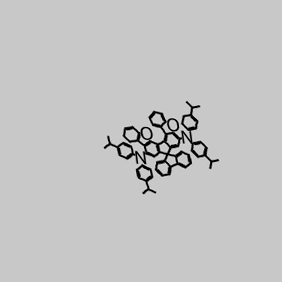 CC(C)C1=CC=C(N(c2ccc(C(C)C)cc2)c2cc3c(c4c2oc2ccccc24)-c2c(cc(N(c4ccc(C(C)C)cc4)c4ccc(C(C)C)cc4)c4c5c(oc24)C=CCC5)C32c3ccccc3-c3ccccc32)CC1